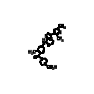 Cc1cc(Nc2nccn3c(-c4cn(C)nc4C(F)(F)F)cnc23)ccc1C(=O)N1CCN(C(=O)O)CC1